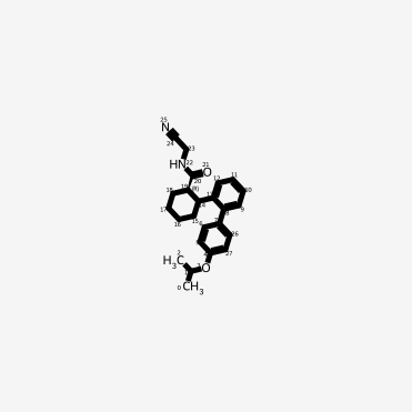 CC(C)Oc1ccc(-c2ccccc2C2CCCC[C@H]2C(=O)NCC#N)cc1